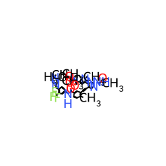 CC(=O)CNc1ncc(C#Cc2cc(C(=O)Nc3ccc(CN4CCN(C)CC4)c(C(F)(F)F)c3)ccc2C)c(-c2cc3c(n2C)CCN(C(=O)OC(C)(C)C)C3=O)n1